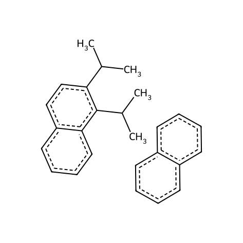 CC(C)c1ccc2ccccc2c1C(C)C.c1ccc2ccccc2c1